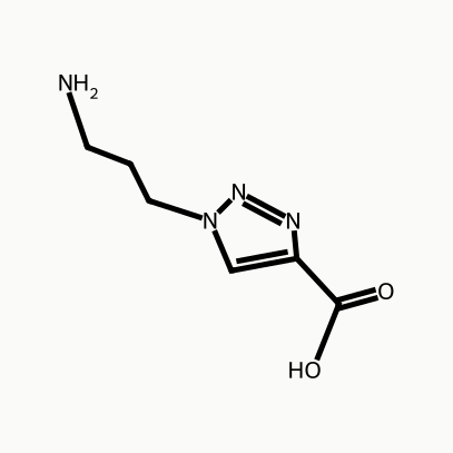 NCCCn1cc(C(=O)O)nn1